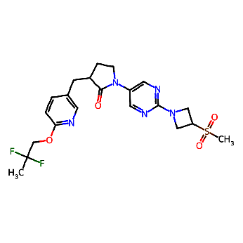 CC(F)(F)COc1ccc(CC2CCN(c3cnc(N4CC(S(C)(=O)=O)C4)nc3)C2=O)cn1